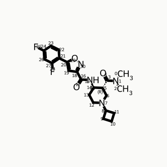 CN(C)C(=O)[C@@H]1CN(C2CCC2)CC[C@H]1NC(=O)c1cc(-c2ccc(F)cc2F)on1